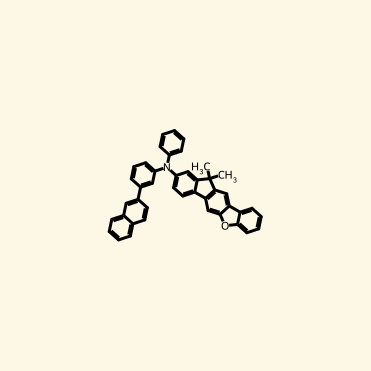 CC1(C)c2cc(N(c3ccccc3)c3cccc(-c4ccc5ccccc5c4)c3)ccc2-c2cc3oc4ccccc4c3cc21